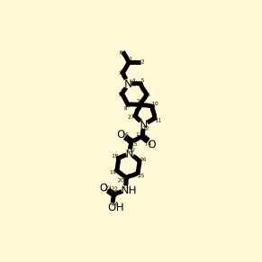 CC(C)CN1CCC2(CC1)CCN(C(=O)C(=O)N1CCC(NC(=O)O)CC1)C2